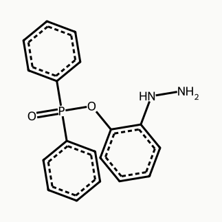 NNc1ccccc1OP(=O)(c1ccccc1)c1ccccc1